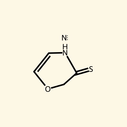 S=C1COC=CN1.[N]